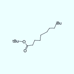 CCC(C)CCCCCCCC(=O)OC(C)(C)C